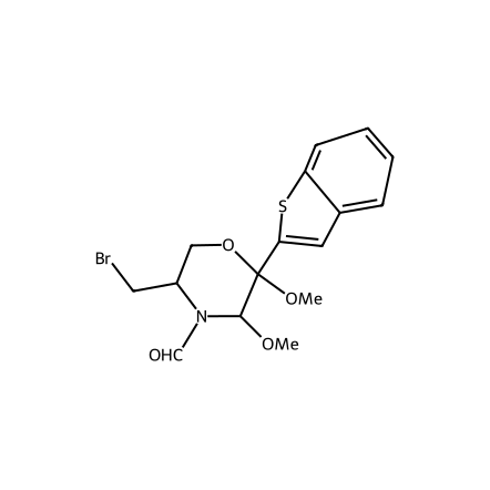 COC1N(C=O)C(CBr)COC1(OC)c1cc2ccccc2s1